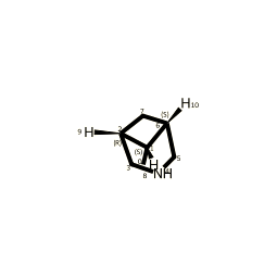 C[C@@H]1[C@@H]2CNC[C@H]1C2